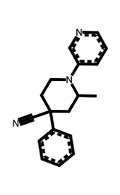 CC1CC(C#N)(c2ccccc2)CCN1c1cccnc1